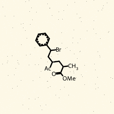 COC(=O)C(C)CC(CC(Br)c1ccccc1)C(C)=O